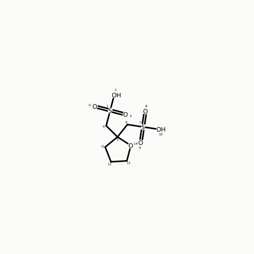 O=S(=O)(O)CC1(CS(=O)(=O)O)CCCO1